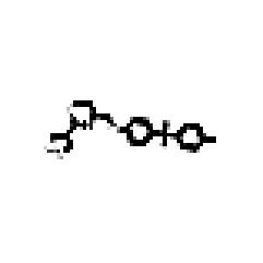 Cc1ccc(C(C)(C)c2ccc(OCc3ccnc(-c4cnoc4)n3)cc2)cc1